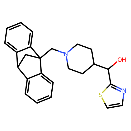 OC(c1nccs1)C1CCN(CC23CC(c4ccccc42)c2ccccc23)CC1